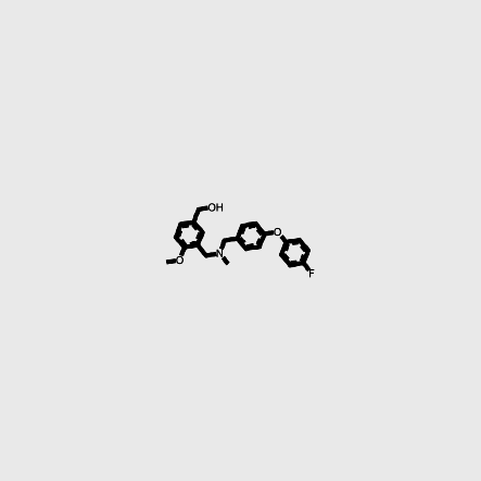 COc1ccc(CO)cc1CN(C)Cc1ccc(Oc2ccc(F)cc2)cc1